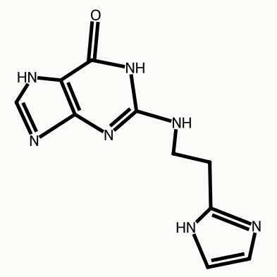 O=c1[nH]c(NCCc2ncc[nH]2)nc2nc[nH]c12